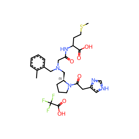 CSCCC(NC(=O)CN(Cc1ccccc1C)C[C@@H]1CCCN1C(=O)Cc1c[nH]cn1)C(=O)O.O=C(O)C(F)(F)F